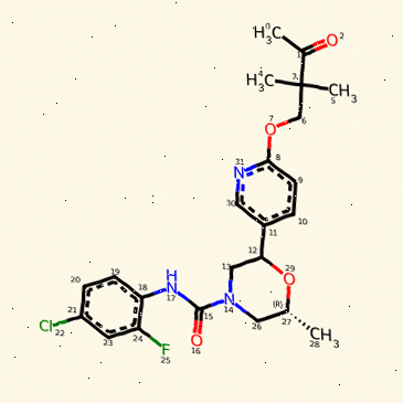 CC(=O)C(C)(C)COc1ccc(C2CN(C(=O)Nc3ccc(Cl)cc3F)C[C@@H](C)O2)cn1